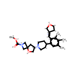 Cc1cc(C2CCN([C@@H]3COC4(C3)CN(C(=O)OC(C)(C)C)C4)CC2)c(/C=C2\CCOC2)c(C)c1C